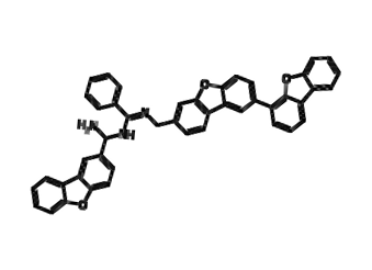 NC(N/C(=N\Cc1ccc2c(c1)oc1ccc(-c3cccc4c3oc3ccccc34)cc12)c1ccccc1)c1ccc2oc3ccccc3c2c1